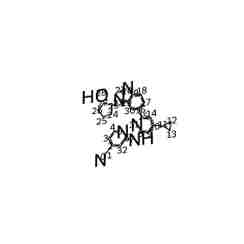 N#Cc1ccnc(Nc2cc(C3CC3)cc(-c3ccc4ncn([C@@H]5CCC[C@H]5O)c4c3)n2)c1